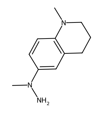 CN(N)c1ccc2c(c1)CCCN2C